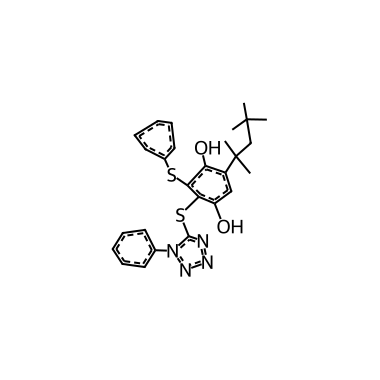 CC(C)(C)CC(C)(C)c1cc(O)c(Sc2nnnn2-c2ccccc2)c(Sc2ccccc2)c1O